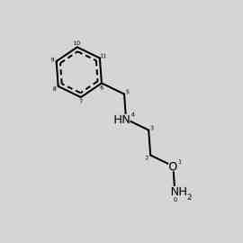 NOCCNCc1ccccc1